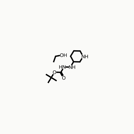 CC(C)(C)OC(=O)NNC1CCCNC1.CCO